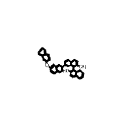 Oc1ccc2ccccc2c1-c1c(O)ccc2ccc(-c3ccc4ccc(Oc5ccc6ccccc6c5)cc4c3)cc12